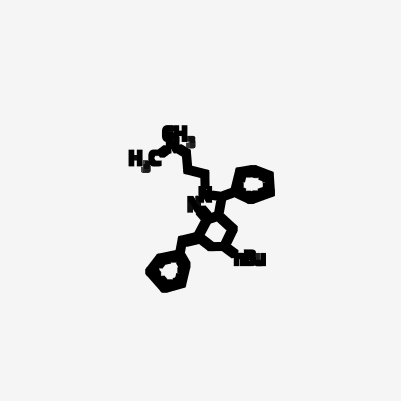 CCCCC1CC(=Cc2ccccc2)C2=NN(CCCN(C)C)C(c3ccccc3)C2C1